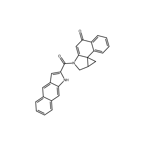 O=C1C=C2N(C(=O)c3cc4cc5ccccc5cc4[nH]3)CC3CC23c2ccccc21